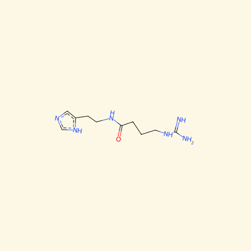 N=C(N)NCCCC(=O)NCCc1cnc[nH]1